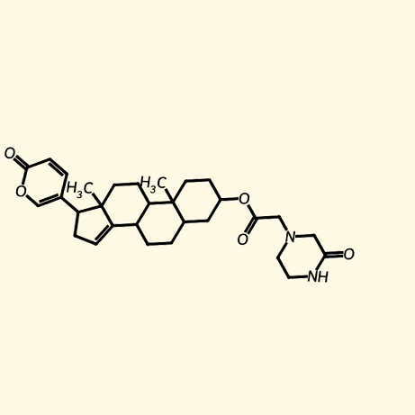 CC12CCC3C(CCC4CC(OC(=O)CN5CCNC(=O)C5)CCC43C)C1=CCC2c1ccc(=O)oc1